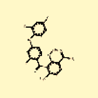 CCCCOc1c(C(N)=O)ccc(C)c1C(=O)c1ccc(Nc2ccc(F)cc2F)cc1Cl